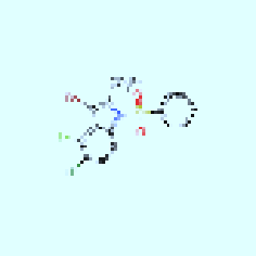 CCOC(=O)c1c(Br)c2c(F)c(Cl)ccc2n1S(=O)(=O)c1ccccc1